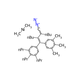 CCCCC(=C=[N+]=[N-])C(CCCC)=C(c1cc(C)c(C)c(C)c1)c1cc(CCC)c(CCC)c(CCC)c1.[CH3][Ni][CH3]